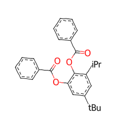 CC(C)c1cc(C(C)(C)C)cc(OC(=O)c2ccccc2)c1OC(=O)c1ccccc1